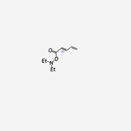 C=C/C=C/C(=O)ON(CC)CC